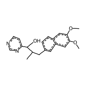 COc1cc2ccc(CC(C)C(O)c3ccncn3)cc2cc1OC